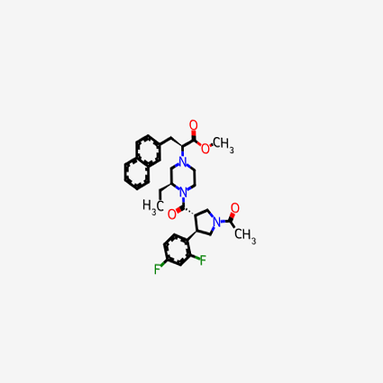 CC[C@H]1CN([C@@H](Cc2ccc3ccccc3c2)C(=O)OC)CCN1C(=O)[C@@H]1CN(C(C)=O)C[C@H]1c1ccc(F)cc1F